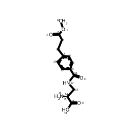 COC(=O)CCc1ccc(C(=O)NC[C@H](N)C(=O)O)cc1